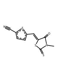 CN1C(=O)C(=Cc2ccc(C#N)s2)SC1=S